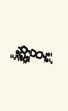 Cc1ccc(N2CCC3(CCN(C(=N)N)CC3)CC2)c(-c2nnn[nH]2)c1S(N)(=O)=O